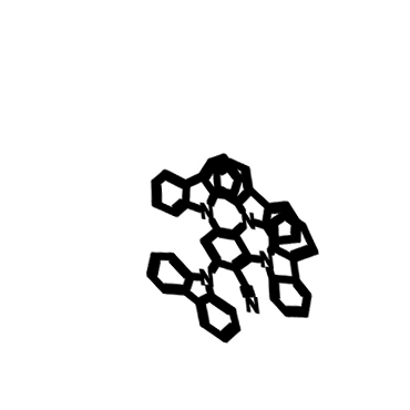 N#Cc1c(-n2c3ccccc3c3ccccc32)cc(-n2c3ccccc3c3ccccc32)c(-n2c3ccccc3c3ccccc32)c1-n1c2ccccc2c2ccccc21